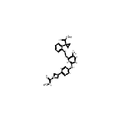 COC(=O)C1(c2ccccc2CCc2nc(Nc3ccc(C4CN(C(=O)OC(C)(C)C)C4)cc3)ncc2C(F)(F)F)CC1